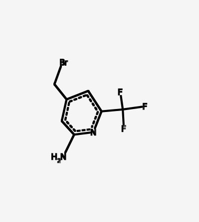 Nc1cc(CBr)cc(C(F)(F)F)n1